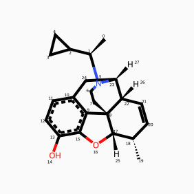 C[C@H](C1CC1)N1CC[C@]23c4c5ccc(O)c4O[C@H]2[C@@H](C)C=C[C@H]3[C@H]1C5